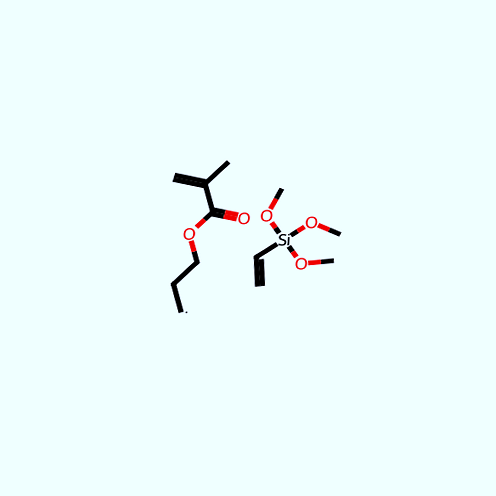 C=C[Si](OC)(OC)OC.[CH2]CCOC(=O)C(=C)C